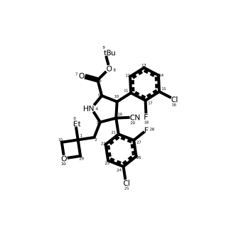 CCC1(CC2NC(C(=O)OC(C)(C)C)C(c3cccc(Cl)c3F)C2(C#N)c2ccc(Cl)cc2F)COC1